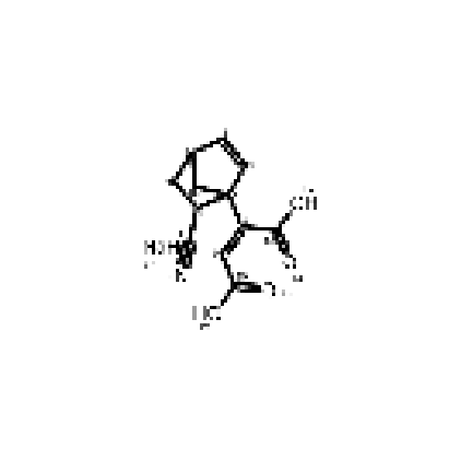 N#CC1CC2C=CC1(/C(=C/C(=O)O)C(=O)O)C2.[NaH]